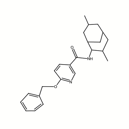 CC1CC2CC(C)C(NC(=O)c3ccc(OCc4ccccc4)nc3)C(C1)C2